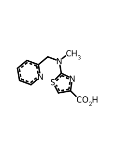 CN(Cc1ccccn1)c1nc(C(=O)O)cs1